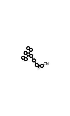 N#Cc1ccc2oc3ccc(-c4ccc(-c5ccc6c(-c7cccc8ccccc78)c7ccccc7c(-c7cccc8ccccc78)c6c5)cc4)cc3c2c1